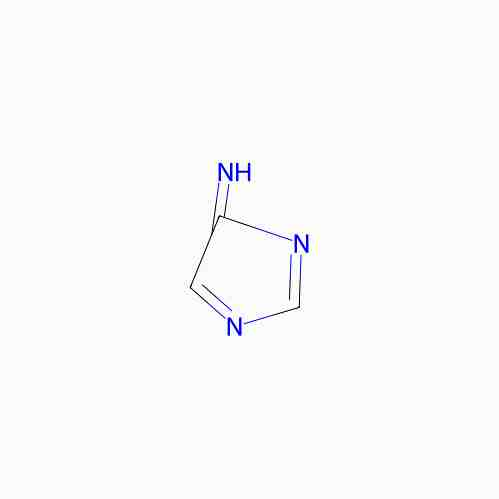 N=C1C=NC=N1